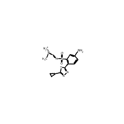 CN(C)/C=N/S(=O)(=O)c1cc(N)ccc1-c1nnc(C2CC2)o1